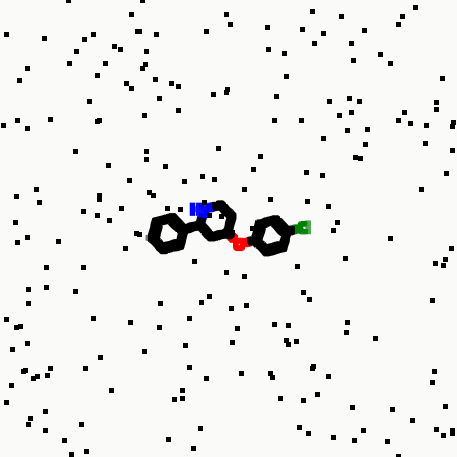 Clc1ccc(OC2CCNC(c3cc[c]cc3)C2)cc1